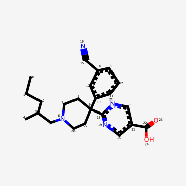 CCCC(C)CN1CCC(c2cccc(C#N)c2)(c2ncc(C(=O)O)cn2)CC1